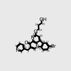 O=c1c(Cc2cccnc2)cn2c3ccc(Br)cc3c3cc(OCCCO)nc1c32